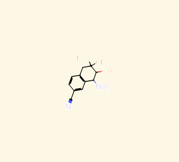 CC1(C)Cc2ccc(C#N)cc2C(N)C1O